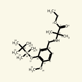 CCOC(=O)C(C)(C)NCc1ccc(OC)c(O[Si](C)(C)C(C)(C)C)c1